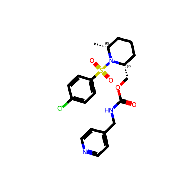 C[C@@H]1CCC[C@H](COC(=O)NCc2ccncc2)N1S(=O)(=O)c1ccc(Cl)cc1